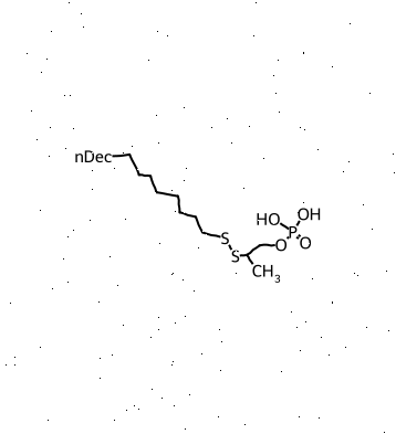 CCCCCCCCCCCCCCCCCCSSC(C)COP(=O)(O)O